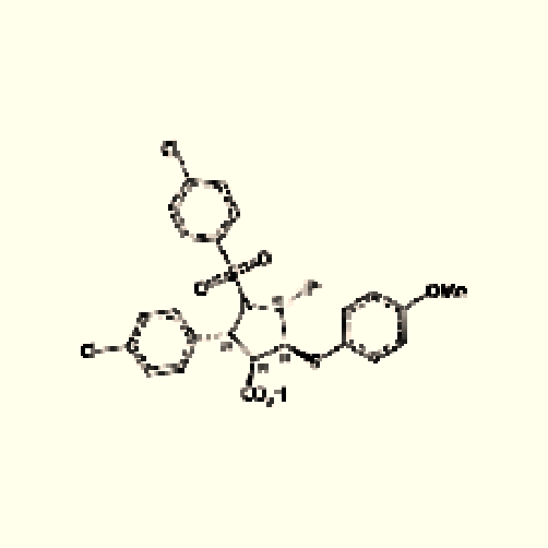 COc1ccc(S[C@H]2[C@@H](C(=O)O)[C@H](c3ccc(Cl)cc3)N(S(=O)(=O)c3ccc(Cl)cc3)[C@@H]2C(C)C)cc1